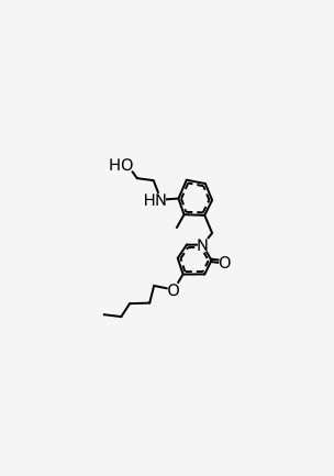 CCCCCOc1ccn(Cc2cccc(NCCO)c2C)c(=O)c1